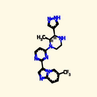 C[C@H]1[C@@H](c2cn[nH]c2)NCCN1c1ccnc(-c2cnc3ccc(C(F)(F)F)cn23)n1